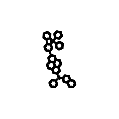 c1ccc(N(c2ccc3ccccc3c2)c2cc3ccc4cc(-c5ccc6c(c5)[Si](c5ccccc5)(c5ccccc5)c5ccccc5-6)cc5ccc(c2)c3c45)cc1